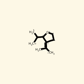 CC(C)=C1CCOC1C(C)C